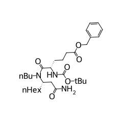 CCCCCC[C@@H](CC(N)=O)N(CCCC)C(=O)[C@H](CCCC(=O)OCc1ccccc1)NC(=O)OC(C)(C)C